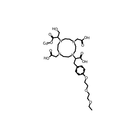 CCOCCOCCOc1ccc(CC(C(=O)O)N2CCN(CC(=O)O)CCN(C(CO)C(=O)[O][Gd])CCN(CC(=O)O)CC2)cc1